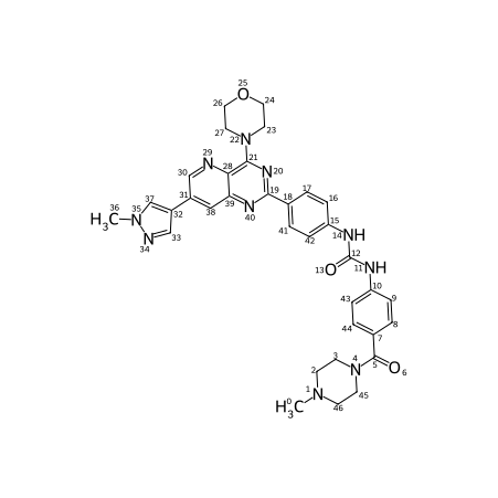 CN1CCN(C(=O)c2ccc(NC(=O)Nc3ccc(-c4nc(N5CCOCC5)c5ncc(-c6cnn(C)c6)cc5n4)cc3)cc2)CC1